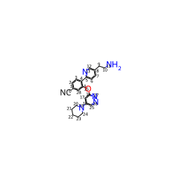 N#Cc1ccc(-c2ccc(CCN)cn2)c(Oc2cc(N3CCCCC3)cnn2)c1